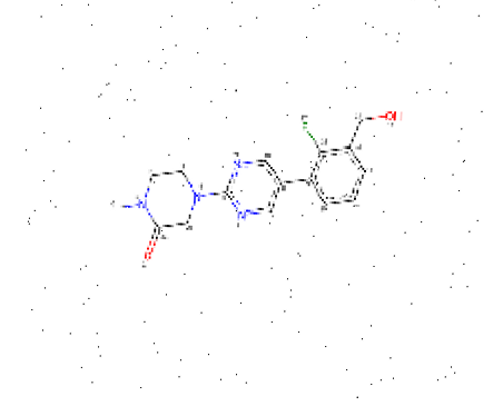 CN1CCN(c2ncc(-c3cccc(CO)c3F)cn2)CC1=O